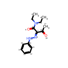 CCN(CC)C(=O)C(=NNc1ccccc1)C(C)=O